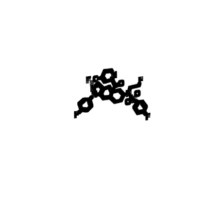 O=C(c1cc(C(F)(F)F)ccn1)[C@]12Cc3cnn(-c4ccc(F)cc4)c3C=C1CC[C@H](N(CCF)S(=O)(=O)c1ccc(F)cc1)C2